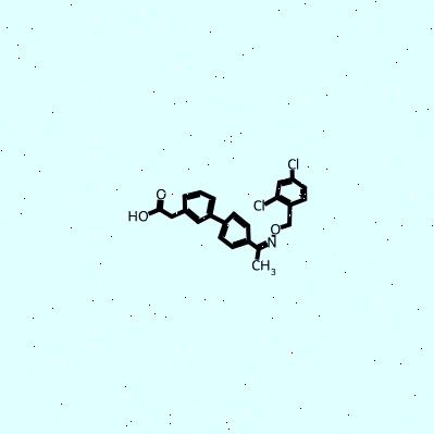 CC(=NOCc1ccc(Cl)cc1Cl)c1ccc(-c2cccc(CC(=O)O)c2)cc1